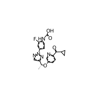 C[C@@H](Oc1ccc(C(=O)C2CC2)nc1)c1cnn(-c2ccc(NC(=O)O)c(F)c2)n1